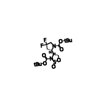 CC(C)(C)OC(=O)N1CC(F)(F)C[C@H]1[C@@H]1COS(=O)N1C(=O)OC(C)(C)C